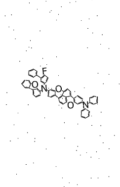 Fc1ccc(N(c2ccc3c(c2)Oc2ccc4c5c(ccc-3c25)Oc2cc(N(c3ccccc3)c3ccccc3)ccc2-4)c2cccc3c2oc2ccccc23)cc1-c1ccccc1